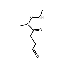 CNON(C)C(=O)CCC=O